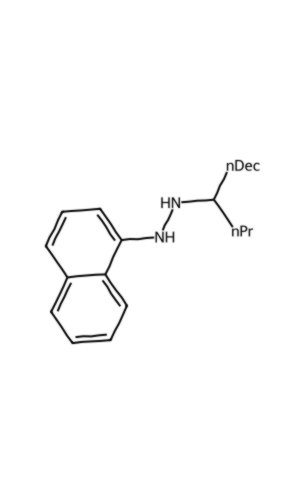 CCCCCCCCCCC(CCC)NNc1cccc2ccccc12